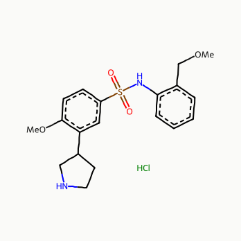 COCc1ccccc1NS(=O)(=O)c1ccc(OC)c(C2CCNC2)c1.Cl